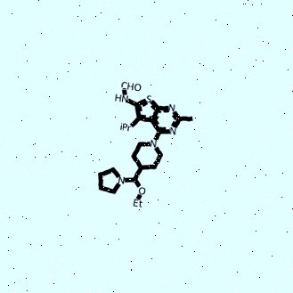 CCOC(C1CCN(c2nc(C)nc3sc(NC=O)c(C(C)C)c23)CC1)N1CCCC1